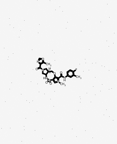 Cc1cc(NC(=O)c2c3c(cn2C)S(=O)(=O)NC2CN(C(=O)c4ncoc4C)C[C@H]2CO3)ccc1F